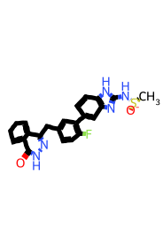 C[S+]([O-])Nc1nc2cc(-c3cc(Cc4n[nH]c(=O)c5c4=CCCC=5)ccc3F)ccc2[nH]1